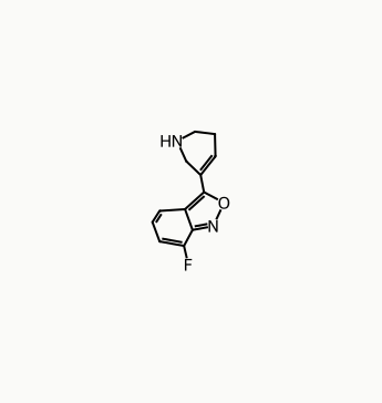 Fc1cccc2c(C3=CCCNC3)onc12